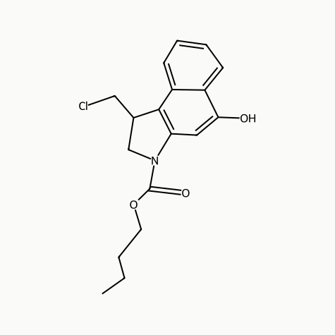 CCCCOC(=O)N1CC(CCl)c2c1cc(O)c1ccccc21